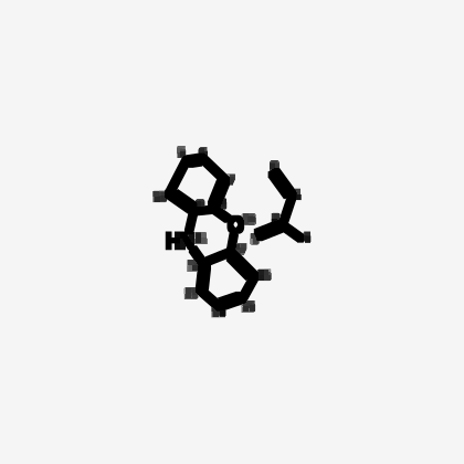 C=CC(=C)C.c1ccc2c(c1)Nc1ccccc1O2